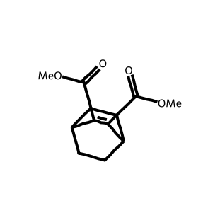 COC(=O)C1=C(C(=O)OC)C2CCC1CC2